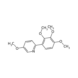 COc1ccc(-c2[c]cc(OC)c(OC)c2OC)nc1